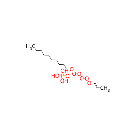 CC=COOOOOOCCCCCCCCCC.O=P(O)(O)O